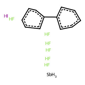 F.F.F.F.F.F.I.[SbH3].c1ccc(-c2ccccc2)cc1